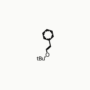 CC(C)(C)OC=Cc1ccccc1